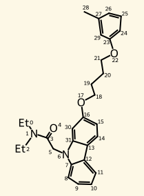 CCN(CC)C(=O)Cn1c2ccccc2c2ccc(OCCCCOc3cccc(C)c3)cc21